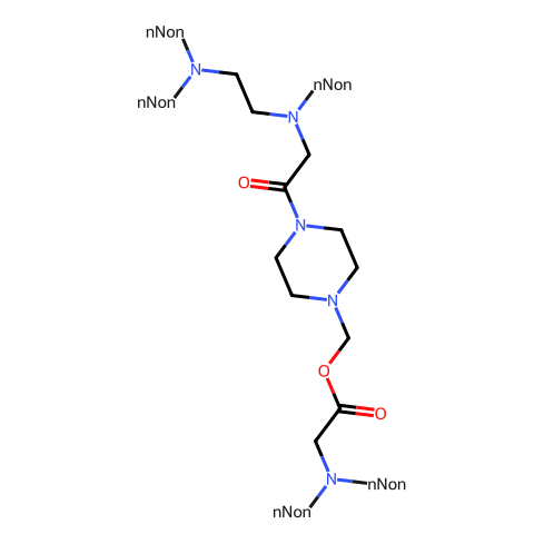 CCCCCCCCCN(CCCCCCCCC)CCN(CCCCCCCCC)CC(=O)N1CCN(COC(=O)CN(CCCCCCCCC)CCCCCCCCC)CC1